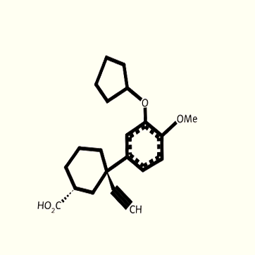 C#C[C@]1(c2ccc(OC)c(OC3CCCC3)c2)CCC[C@@H](C(=O)O)C1